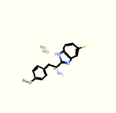 COc1ccc(C[C@@H](N)c2nc3cc(F)ccc3[nH]2)cc1.Cl.Cl